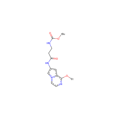 CCOc1nccn2cc(NC(=O)CCNC(=O)OC(C)(C)C)cc12